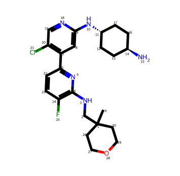 CC1(CNc2nc(-c3cc(N[C@H]4CC[C@H](N)CC4)ncc3Cl)ccc2F)CCOCC1